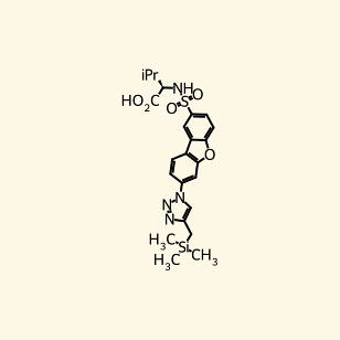 CC(C)[C@@H](NS(=O)(=O)c1ccc2oc3cc(-n4cc(C[Si](C)(C)C)nn4)ccc3c2c1)C(=O)O